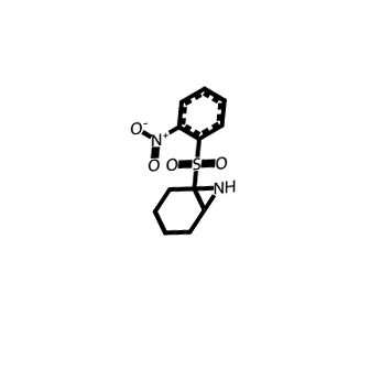 O=[N+]([O-])c1ccccc1S(=O)(=O)C12CCCCC1N2